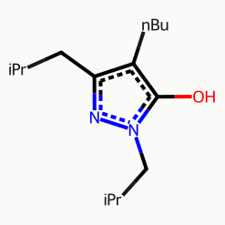 CCCCc1c(CC(C)C)nn(CC(C)C)c1O